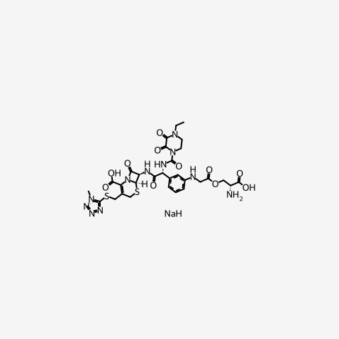 CCN1CCN(C(=O)N[C@@H](C(=O)N[C@@H]2C(=O)N3C(C(=O)O)=C(CSc4nnnn4C)CS[C@H]23)c2cccc(NCC(=O)OC[C@@H](N)C(=O)O)c2)C(=O)C1=O.[NaH]